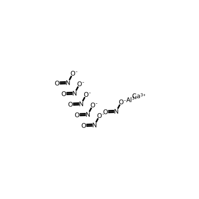 O=N[O-].O=N[O-].O=N[O-].O=N[O-].O=N[O-].O=N[O-].[Al+3].[Ga+3]